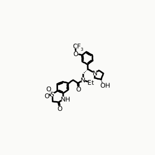 CCN(C[C@H](c1cccc(OC(F)(F)F)c1)N1CC[C@H](O)C1)C(=O)Cc1ccc2c(c1)NC(=O)CS2(=O)=O